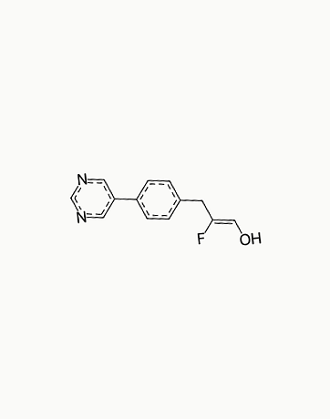 O/C=C(\F)Cc1ccc(-c2cncnc2)cc1